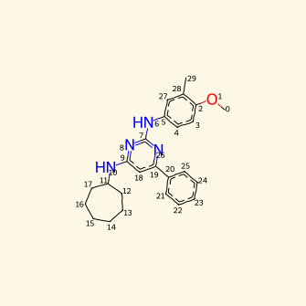 COc1ccc(Nc2nc(NC3CCCCCC3)cc(-c3ccccc3)n2)cc1C